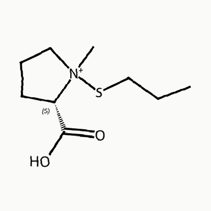 CCCS[N+]1(C)CCC[C@H]1C(=O)O